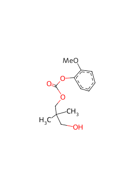 COc1ccccc1OC(=O)OCC(C)(C)CO